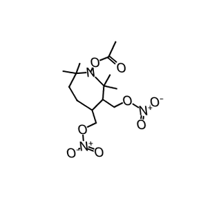 CC(=O)ON1C(C)(C)CCC(CO[N+](=O)[O-])C(CO[N+](=O)[O-])C1(C)C